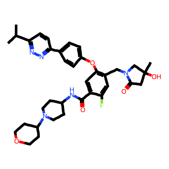 CC(C)c1ccc(-c2ccc(Oc3cc(C(=O)NC4CCN(C5CCOCC5)CC4)c(F)cc3CN3CC(C)(O)CC3=O)cc2)nn1